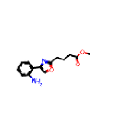 COC(=O)CCCc1nc(-c2ccccc2N)co1